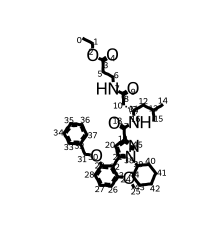 CCOC(=O)CCNC(=O)C[C@H](CC(C)C)NC(=O)c1cc(-c2c(OC)cccc2OCc2ccccc2)n(C2CCCCC2)n1